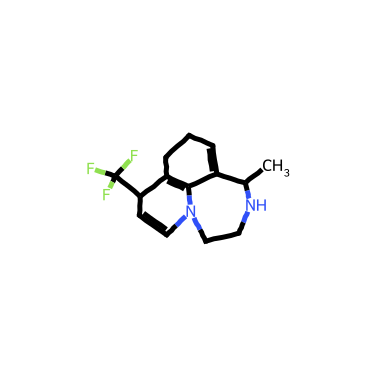 CC1NCCN2C=CC(C(F)(F)F)C3=C2C1=CCC3